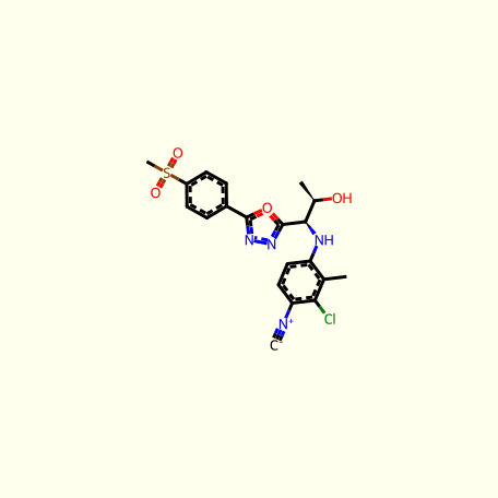 [C-]#[N+]c1ccc(N[C@@H](c2nnc(-c3ccc(S(C)(=O)=O)cc3)o2)[C@@H](C)O)c(C)c1Cl